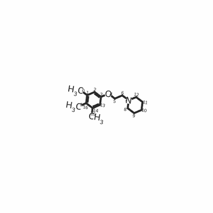 Cc1cc(OCCN2CCCCC2)cc(C)c1C